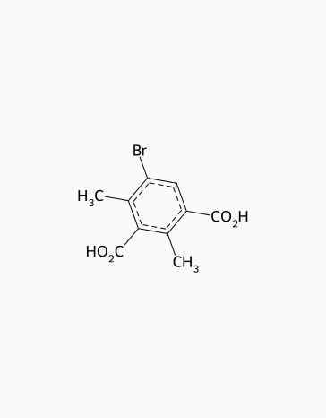 Cc1c(Br)cc(C(=O)O)c(C)c1C(=O)O